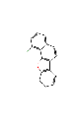 Clc1cccc2ccc3c4c(oc3c12)CCC=C4